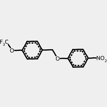 O=[N+]([O-])c1ccc(OCc2ccc(OC(F)(F)F)cc2)cc1